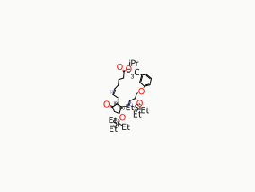 CC[Si](CC)(CC)OC(/C=C/[C@H]1C(O[Si](CC)(CC)CC)CC(=O)[C@@H]1C/C=C\CCCC(=O)OC(C)C)COc1cccc(C(F)(F)F)c1